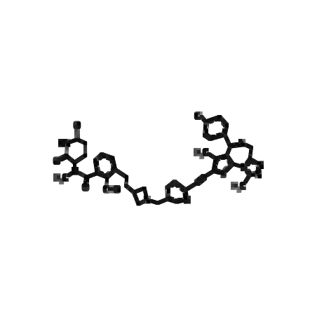 Cc1c(C#Cc2ccc(CN3CC(CCc4cccc(C(=O)N(C)C5CCC(=O)NC5=O)c4C=O)C3)cn2)sc2c1C(c1ccc(Cl)cc1)=NCc1nnc(C)n1-2